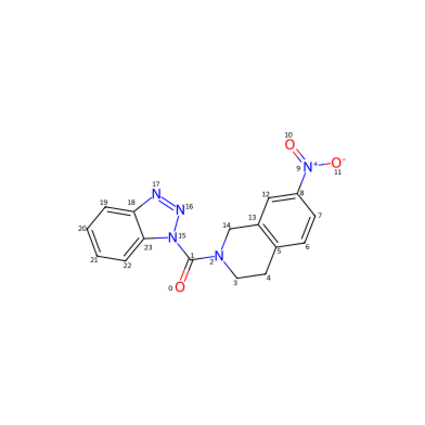 O=C(N1CCc2ccc([N+](=O)[O-])cc2C1)n1nnc2ccccc21